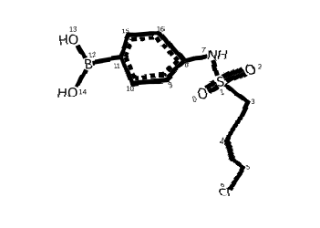 O=S(=O)(CCCCl)Nc1ccc(B(O)O)cc1